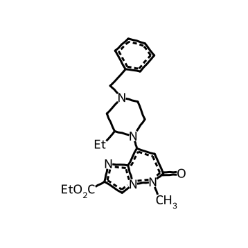 CCOC(=O)c1cn2c(n1)c(N1CCN(Cc3ccccc3)CC1CC)cc(=O)n2C